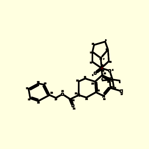 CC(C)(C)OC(=O)N1C2CCC1CN(c1nc(Cl)nc3c1CCN(C(=O)OCc1ccccc1)C3)C2